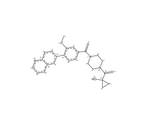 COc1cc(C(=O)N2CCN(C(=O)C3(O)CC3)CC2)ccc1-c1ccc2ncccc2c1